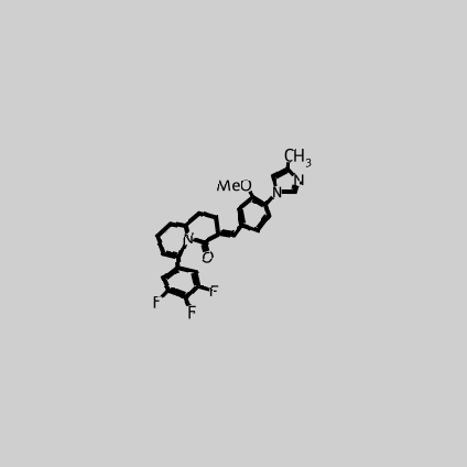 COc1cc(C=C2CCC3CCC=C(c4cc(F)c(F)c(F)c4)N3C2=O)ccc1-n1cnc(C)c1